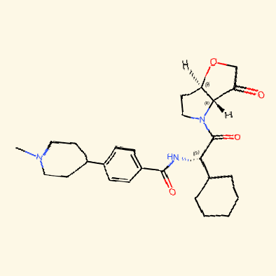 CN1CCC(c2ccc(C(=O)N[C@H](C(=O)N3CC[C@H]4OCC(=O)[C@@H]43)C3CCCCC3)cc2)CC1